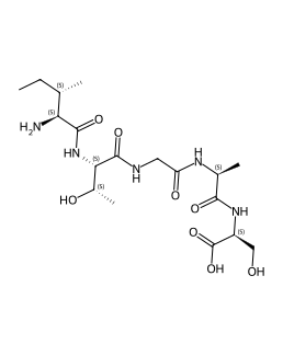 CC[C@H](C)[C@H](N)C(=O)N[C@H](C(=O)NCC(=O)N[C@@H](C)C(=O)N[C@@H](CO)C(=O)O)[C@H](C)O